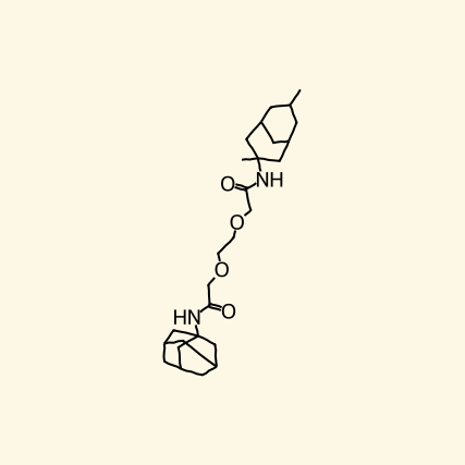 CC1CC2CC(C1)CC(C)(NC(=O)COCCOCC(=O)NC13CC4CC(CC(C4)C1)C3)C2